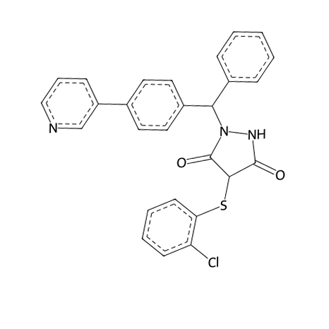 O=C1NN(C(c2ccccc2)c2ccc(-c3cccnc3)cc2)C(=O)C1Sc1ccccc1Cl